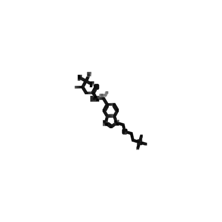 CC(CC(=O)N[C@H](C)c1ccc2c(c1)ncn2COCC[Si](C)(C)C)C(F)(F)F